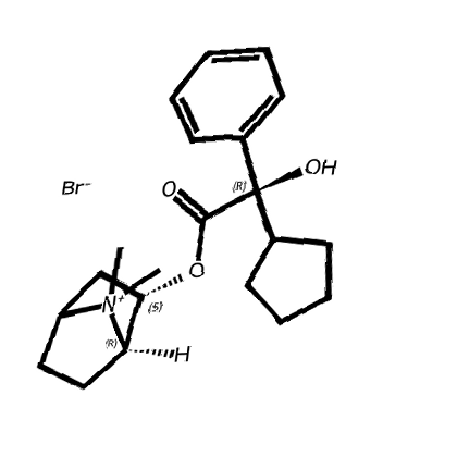 C[N+]1(C)C2CC[C@@H]1[C@@H](OC(=O)[C@](O)(c1ccccc1)C1CCCC1)C2.[Br-]